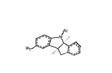 CC(=O)N1c2ccc(C(C)C)cc2[C@]2(C)Cc3ccccc3[C@]12C